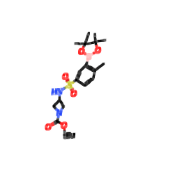 Cc1ccc(S(=O)(=O)NC2CN(C(=O)OC(C)(C)C)C2)cc1B1OC(C)(C)C(C)(C)O1